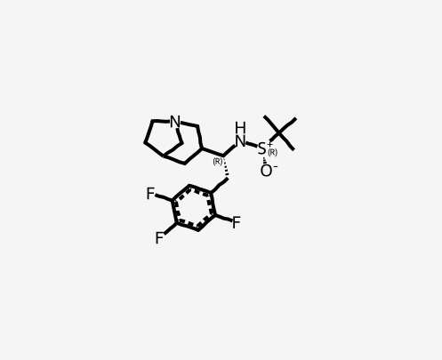 CC(C)(C)[S@+]([O-])N[C@H](Cc1cc(F)c(F)cc1F)C1CC2CCN(C2)C1